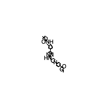 CCOC(=O)c1ccc(N2CCC(Nc3ncc(-c4cccc(CNC(=O)OC(C)(C)C)c4)cn3)CC2)cc1